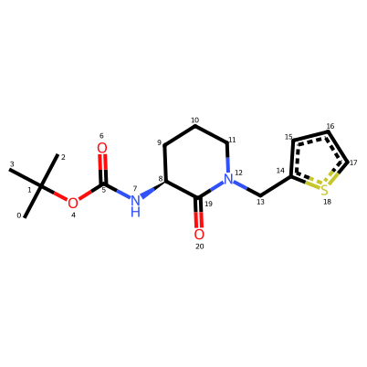 CC(C)(C)OC(=O)N[C@H]1CCCN(Cc2cccs2)C1=O